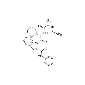 CCNC(C)C(=O)NC(C(=O)N1c2ncccc2C[C@H]1C(=O)Nc1ccccc1)C1CCCCC1